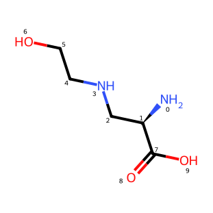 N[C@H](CNCCO)C(=O)O